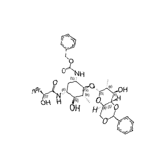 CCC[C@H](O)C(=O)N[C@@H]1C[C@H](NC(=O)OCc2ccccc2)[C@@H](O[C@H]2O[C@@H]3COC(c4ccccc4)O[C@H]3[C@H](O)[C@H]2C)[C@H](C)[C@H]1O